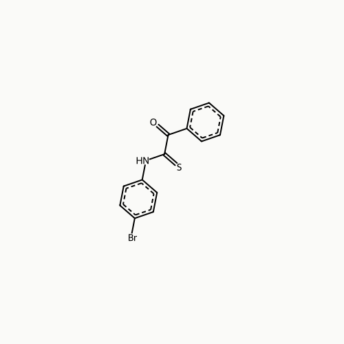 O=C(C(=S)Nc1ccc(Br)cc1)c1ccccc1